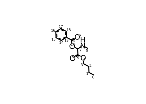 CCCCOC(=O)C(NC)OC(=O)c1ccccc1